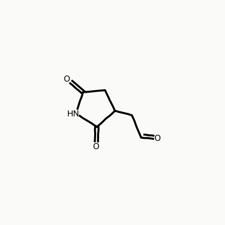 O=CCC1CC(=O)NC1=O